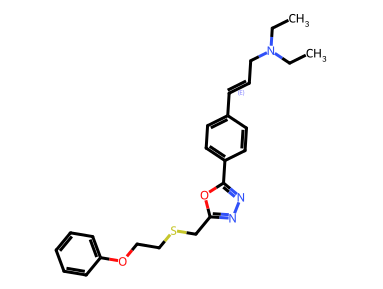 CCN(CC)C/C=C/c1ccc(-c2nnc(CSCCOc3ccccc3)o2)cc1